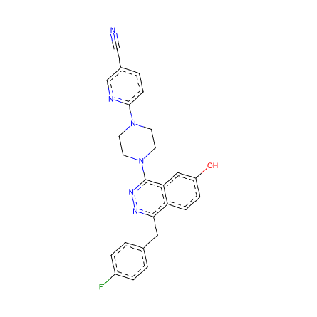 N#Cc1ccc(N2CCN(c3nnc(Cc4ccc(F)cc4)c4ccc(O)cc34)CC2)nc1